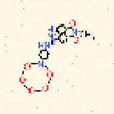 CCN1C(=O)c2cccc3c(/C(N)=C/Nc4ccc(N5CCOCCOCCOCCOCCOCC5)cc4)ccc(c23)C1=O